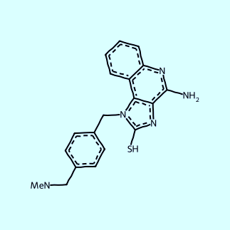 CNCc1ccc(Cn2c(S)nc3c(N)nc4ccccc4c32)cc1